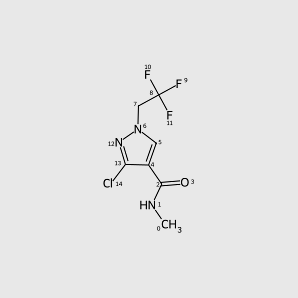 CNC(=O)c1cn(CC(F)(F)F)nc1Cl